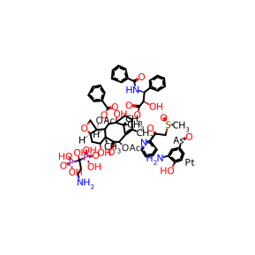 CC(=O)O[C@H]1C(=O)[C@@]2(C)[C@H]([C@H](OC(=O)c3ccccc3)[C@]3(O)C[C@H](OC(=O)[C@H](O)[C@@H](NC(=O)c4ccccc4)c4ccccc4)C(C)=C1C3(C)C)[C@]1(OC(C)=O)CO[C@@H]1C[C@@H]2O.CS(=O)CC(=O)c1ccccn1.NCCC(O)(P(=O)(O)O)P(=O)(O)O.Nc1cc([As]=O)ccc1O.[Pt]